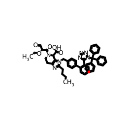 CCCCc1nc2c(n1Cc1ccc(-c3ccccc3-c3nnnn3C(c3ccccc3)(c3ccccc3)c3ccccc3)cc1)C(C(=O)O)N(C(=O)C(C=O)OCC)CC2